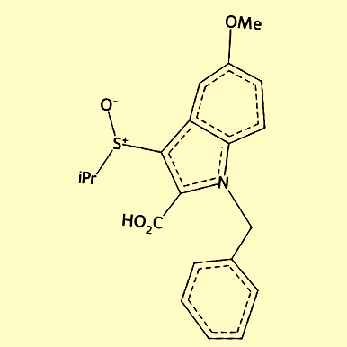 COc1ccc2c(c1)c([S+]([O-])C(C)C)c(C(=O)O)n2Cc1ccccc1